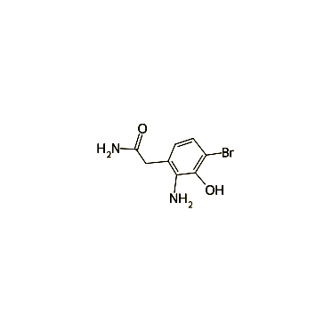 NC(=O)Cc1ccc(Br)c(O)c1N